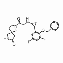 O=C1CC2(CCN(C(=O)CNC3CC3c3cc(F)cc(F)c3OCc3ccccc3)C2)CN1